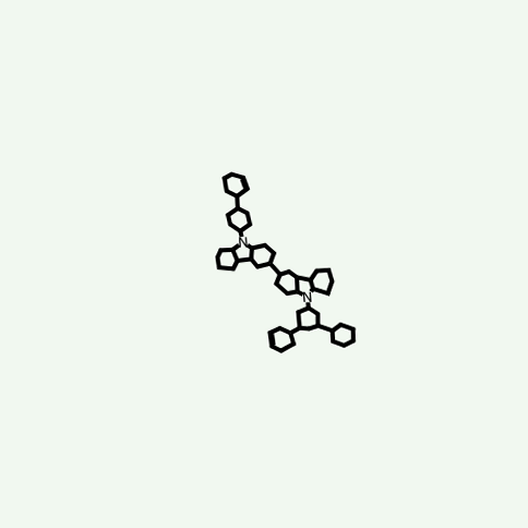 C1=CC(C2CCC(N3C4CCCCC4C4CC(C5CCC6C(C5)C5CCCCC5N6C5CC(C6CC=CCC6)CC(C6CCCCC6)C5)CCC43)CC2)CCC1